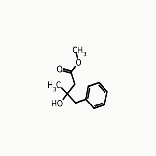 COC(=O)CC(C)(O)Cc1ccccc1